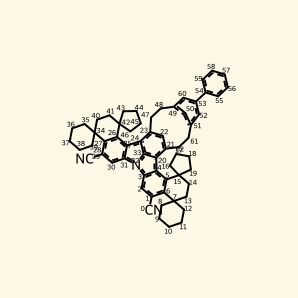 N#Cc1cc2c(c3c1C1(CCCCC1)CCC31CCCC1)c1c3cc(c4c5c6c(c(C#N)cc5n2c14)C1(CCCCC1)CCC61CCCC1)CCc1cc(cc(-c2ccccc2)c1)CC3